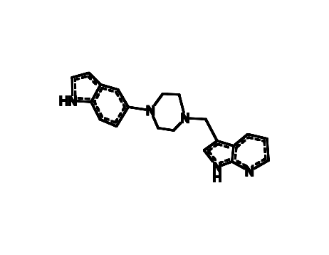 c1cnc2[nH]cc(CN3CCN(c4ccc5[nH]ccc5c4)CC3)c2c1